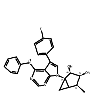 C[C@H]1C2C[C@]2(n2cc(-c3ccc(F)cc3)c3c(Nc4ccccc4)ncnc32)[C@@H](O)[C@H]1O